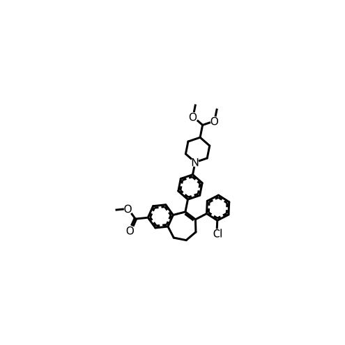 COC(=O)c1ccc2c(c1)CCCC(c1ccccc1Cl)=C2c1ccc(N2CCC(C(OC)OC)CC2)cc1